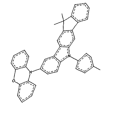 Cc1ccc(-n2c3ccc(N4c5ccccc5Oc5ccccc54)cc3c3cc4c(cc32)-c2ccccc2C4(C)C)cc1